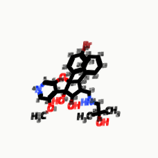 COc1cncc2c1C1(O)C(O)C(CNCC(C)(C)O)C(c3ccccc3)C1(c1ccc(Br)cc1)O2